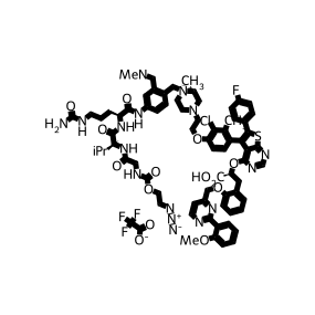 CNCc1cc(NC(=O)[C@H](CCCNC(N)=O)NC(=O)[C@@H](NC(=O)CNC(=O)OCCN=[N+]=[N-])C(C)C)ccc1C[N+]1(C)CCN(CCOc2ccc(-c3c(-c4ccc(F)cc4)sc4ncnc(O[C@H](Cc5ccccc5OCc5ccnc(-c6ccccc6OC)n5)C(=O)O)c34)c(C)c2Cl)CC1.O=C([O-])C(F)(F)F